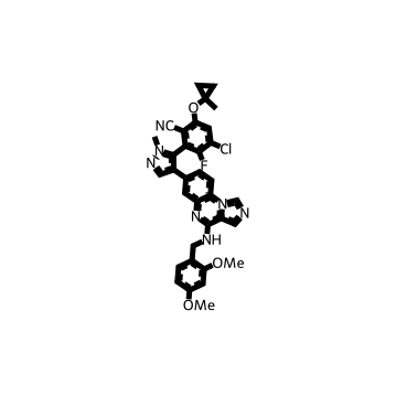 COc1ccc(CNc2nc3cc(-c4cnn(C)c4-c4c(F)c(Cl)cc(OC5(C)CC5)c4C#N)ccc3n3cncc23)c(OC)c1